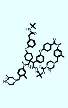 Cc1cc(N(C)C(=O)C2(C(C(=O)O)c3cccc(OC4CCC(C(=O)N(C)c5ccc(CN6CCN(C(=O)OC(C)(C)C)[C@@H](C)C6)c(C)c5)CC4)c3)CCC(Oc3cccc(CC(=O)NC(C)(C)C)c3)CC2)ccc1CN1CCN[C@@H](C)C1